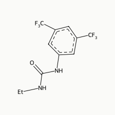 CCNC(=O)Nc1cc(C(F)(F)F)cc(C(F)(F)F)c1